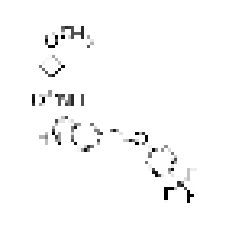 COC1CC(C(=O)Nc2c[nH]c3ccc(CCOc4ccc(C(F)(F)F)cc4)cc23)C1